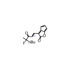 CCCCC(C)(F)C(=O)/C=C/C1=C2C=CC=C2OC1=O